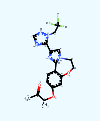 CC(=O)[C@@H](C)Oc1ccc2c(c1)OCCn1cc(-c3ncnn3CC(F)(F)F)nc1-2